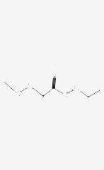 CCNNC(=O)CNNC